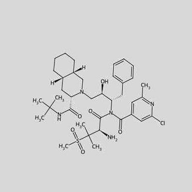 Cc1cc(C(=O)N(C(=O)[C@@H](N)C(C)(C)S(C)(=O)=O)[C@@H](Cc2ccccc2)[C@H](O)CN2C[C@H]3CCCC[C@H]3C[C@H]2C(=O)NC(C)(C)C)cc(Cl)n1